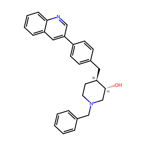 O[C@@H]1CN(Cc2ccccc2)CC[C@H]1Cc1ccc(-c2cnc3ccccc3c2)cc1